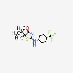 CC(C)[C@@]1(C)SC(N[C@H]2CC[C@H](C(F)(F)F)CC2)=NC1=O